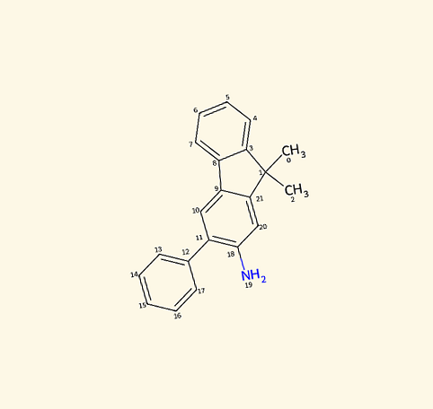 CC1(C)c2ccccc2-c2cc(-c3ccccc3)c(N)cc21